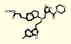 Cc1ccc2c(CCN(Cc3cn[nH]c3C(=O)N3CCOCC3)C3CCc4cc(/C=C/C(=O)NO)ccc43)c[nH]c2c1